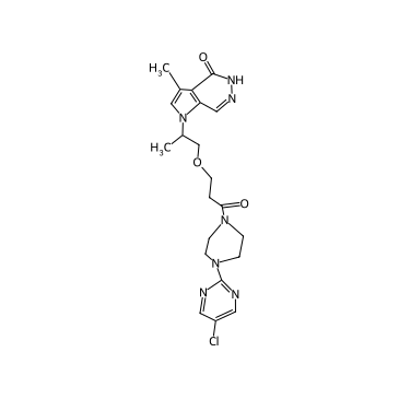 Cc1cn(C(C)COCCC(=O)N2CCN(c3ncc(Cl)cn3)CC2)c2cn[nH]c(=O)c12